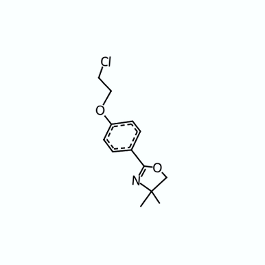 CC1(C)COC(c2ccc(OCCCl)cc2)=N1